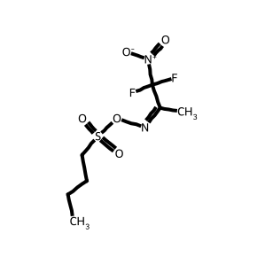 CCCCS(=O)(=O)ON=C(C)C(F)(F)[N+](=O)[O-]